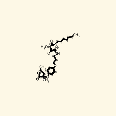 CCCCCCCn1nc(NCCCOc2ccc(OC(C)(CCC)C(=O)O)cc2)c(=O)n(C)c1=O